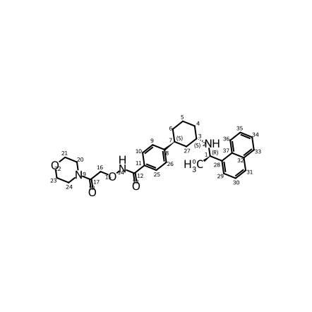 C[C@@H](N[C@H]1CCC[C@H](c2ccc(C(=O)NOCC(=O)N3CCOCC3)cc2)C1)c1cccc2ccccc12